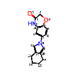 O=C1COc2ccc(-n3cc4c(c3)CCCC4)cc2N1